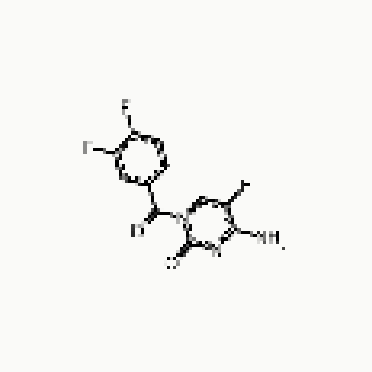 Nc1nc(=O)n(C(=O)c2ccc(F)c(F)c2)cc1F